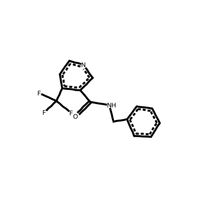 O=C(NCc1ccccc1)c1cnccc1C(F)(F)F